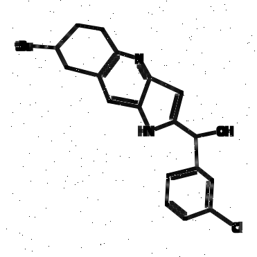 CC(C)(C)C1CCc2nc3cc(C(O)c4cccc(Cl)c4)[nH]c3cc2C1